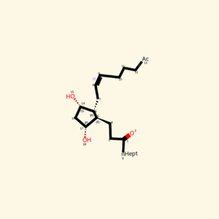 CCCCCCCC(=O)CC[C@@H]1[C@@H](C/C=C\CCCC(C)=O)[C@@H](O)C[C@H]1O